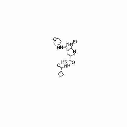 CCn1nc(NC2CCOCC2)c2cc(C(=O)NNC(=O)C3CCC3)cnc21